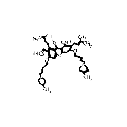 CC(C)=CCc1c(OCCCCN2CCC(C)CC2)cc2oc3cc(OCCCCN4CCC(C)CC4)c(CO)c(CC=C(C)C)c3c(=O)c2c1O